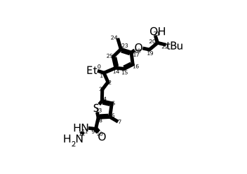 CCC(CCc1cc(C)c(C(=O)NN)s1)c1ccc(OCC(O)C(C)(C)C)c(C)c1